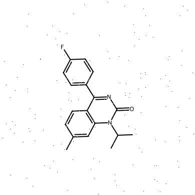 Cc1ccc2c(-c3ccc(F)cc3)nc(=O)n(C(C)C)c2c1